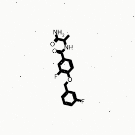 CC(NC(=O)c1ccc(OCc2cccc(F)c2)c(F)c1)C(N)=O